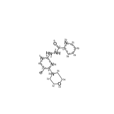 O=C(NNc1ncc(F)c(N2CCOCC2)n1)c1ccccn1